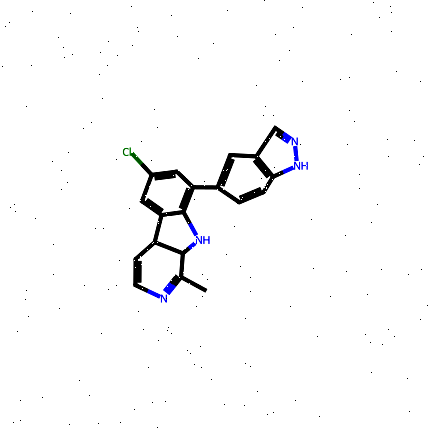 CC1=NC=CC2c3cc(Cl)cc(-c4ccc5[nH]ncc5c4)c3NC12